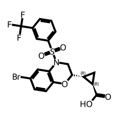 O=C(O)[C@@H]1C[C@H]1C1CN(S(=O)(=O)c2cccc(C(F)(F)F)c2)c2cc(Br)ccc2O1